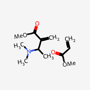 C=C(C(=O)OC)C(C)N(C)C.C=CC(=O)OC